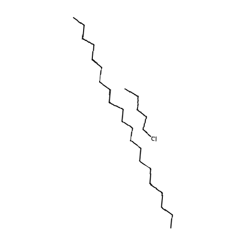 CCCCCCCCCCCCCCCCCCCCC.CCCCCCl